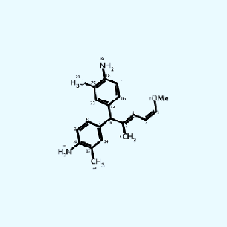 CO/C=C\C=C(/C)C(c1ccc(N)c(C)c1)c1ccc(N)c(C)c1